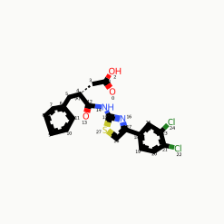 O=C(O)C[C@@H](Cc1ccccc1)C(=O)Nc1nc(-c2ccc(Cl)c(Cl)c2)cs1